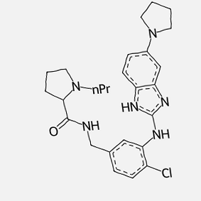 CCCN1CCCC1C(=O)NCc1ccc(Cl)c(Nc2nc3cc(N4CCCC4)ccc3[nH]2)c1